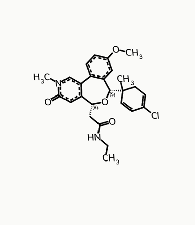 CCNC(=O)C[C@H]1O[C@@H](C2(C)C=CC(Cl)=CC2)c2cc(OC)ccc2-c2cn(C)c(=O)cc21